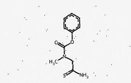 CN(CC(N)=S)C(=O)Oc1ccccc1